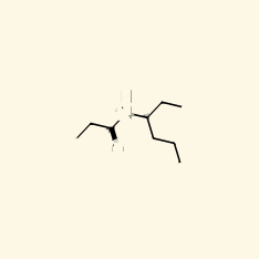 [CH2]CC(=O)NC(CC)CCC